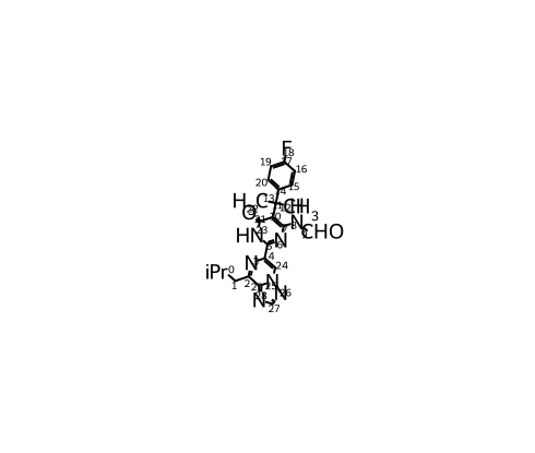 CC(C)Cc1nc(-c2nc(NC=O)c(C(C)(C)c3ccc(F)cc3)c(=O)[nH]2)cn2ncnc12